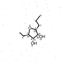 CCC[C@@H]1O[C@H](CC)[C@@H](O)[C@H]1O